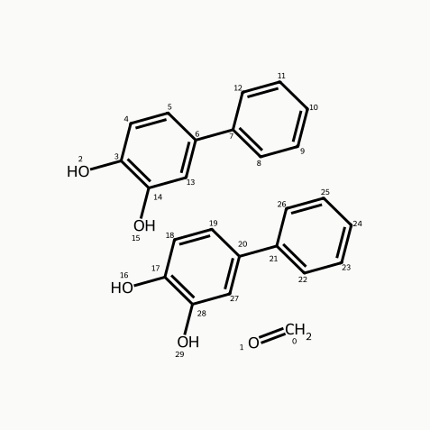 C=O.Oc1ccc(-c2ccccc2)cc1O.Oc1ccc(-c2ccccc2)cc1O